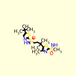 Cc1nc(S(C)(=N)=O)sc1C(C)(C)CCS(=N)(=O)c1ncc(C(C)(C)C)s1